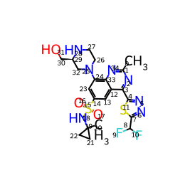 Cc1nc(-c2nnc(C(F)F)s2)c2cc(S(=O)(=O)NC3(C)CC3)cc(N3CCN[C@H](CO)C3)c2n1